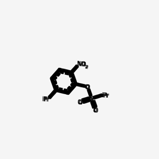 CC(C)c1ccc([N+](=O)[O-])c(OS(=O)(=O)C(C)C)c1